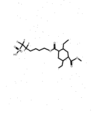 CCC1CC(C(=O)OCCCCC(F)(F)C(F)(F)S(=O)(=O)O)C(CC)CC1C(=O)OC